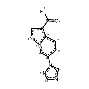 CCC(=O)c1cnn2cc(-n3cncn3)ccc12